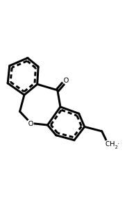 [CH2]Cc1ccc2c(c1)C(=O)c1ccccc1CO2